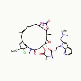 CNN(C)Cc1cc2cccnc2n1CCC(=O)N(C)[C@@H](C)C(=O)O[C@H]1CC(=O)N(C)c2cc(cc(OC)c2Cl)C/C(C)=C/C=C/C[C@@]2(O)C[C@H](OC(=O)N2)[C@@H](C)C2O[C@]21C